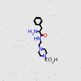 NC(Cc1ccccc1)C(=O)NCCN1CCN(C(=O)O)CC1